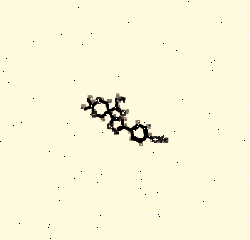 CCCC(=O)C1(c2nc(-c3ccc(OC)cc3)no2)COC(C)(C)OC1